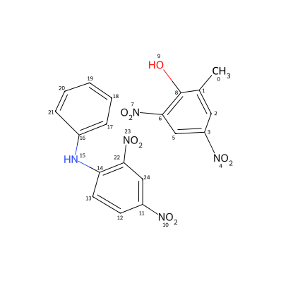 Cc1cc([N+](=O)[O-])cc([N+](=O)[O-])c1O.O=[N+]([O-])c1ccc(Nc2ccccc2)c([N+](=O)[O-])c1